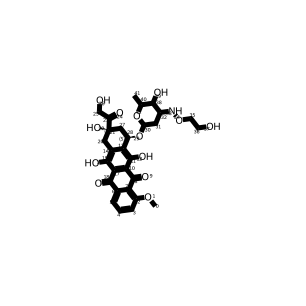 COc1cccc2c1C(=O)c1c(O)c3c(c(O)c1C2=O)C[C@@](O)(C(=O)CO)C[C@@H]3OC1CC(NOCCO)C(O)C(C)O1